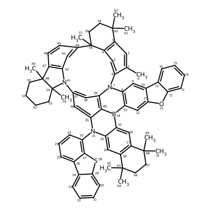 Cc1cc2c3cc1N1c4cc5c(cc4B4c6cc7c(cc6N(c6cccc8c6sc6ccccc68)c6cc(cc1c64)N1c4cc(ccc4C4(C)CCCCC14C)C3(C)CCC2(C)C)C(C)(C)CCC7(C)C)oc1ccccc15